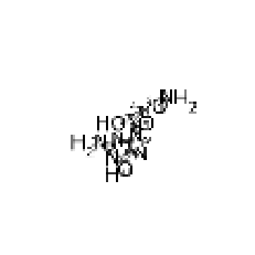 NOC[C@@H]1C[C@@H](O)[C@H](n2cnc3c(=O)[nH]c(N)nc32)O1